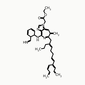 C=C\C=C/C(=C\C=C)/C=C/CC/C=C(\CCC)CC1=NC(NC2C=CC=CC2C=N)=c2ncn(CC(=O)OCC)c2=CC1=C